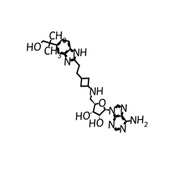 CC(C)(CO)c1ccc2[nH]c(CCC3CC(NC[C@H]4O[C@@H](n5cnc6c(N)ncnc65)[C@H](O)[C@@H]4O)C3)nc2c1